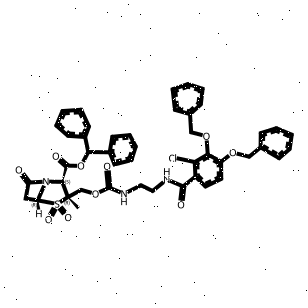 C[C@]1(COC(=O)NCCNC(=O)c2ccc(OCc3ccccc3)c(OCc3ccccc3)c2Cl)[C@H](C(=O)OC(c2ccccc2)c2ccccc2)N2C(=O)C[C@H]2S1(=O)=O